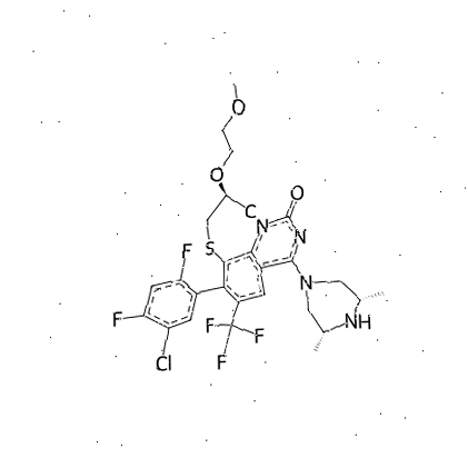 COCCO[C@@H]1CSc2c(-c3cc(Cl)c(F)cc3F)c(C(F)(F)F)cc3c(N4C[C@@H](C)N[C@@H](C)C4)nc(=O)n(c23)C1